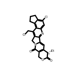 CC[C@@H]1C(=O)OCc2c1cc1n(c2=O)Cc2c-1nc1cc(Cl)c3c(c1c2CCl)CCC3